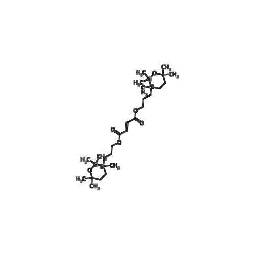 CC1(C)CC[Si](C)(CCCOC(=O)C=CC(=O)OCCC[Si]2(C)CCC(C)(C)O[Si]2(C)C)[Si](C)(C)O1